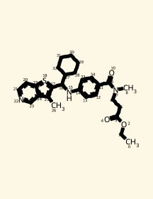 CCOC(=O)CCN(C)C(=O)c1ccc(NC(c2sc3ccncc3c2C)C2CCCCC2)cc1